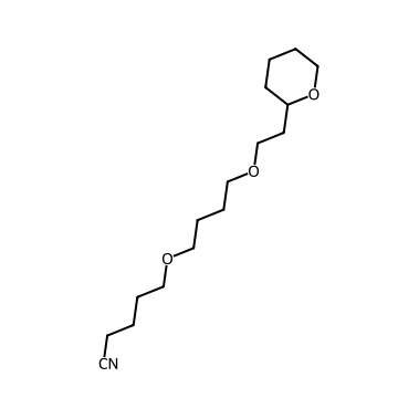 N#CCCCCOCCCCOCCC1CCCCO1